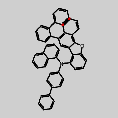 c1ccc(-c2ccc(N(c3cccc4ccccc34)c3cccc4oc5c6ccccc6c(-c6ccccc6-c6ccccc6)cc5c34)cc2)cc1